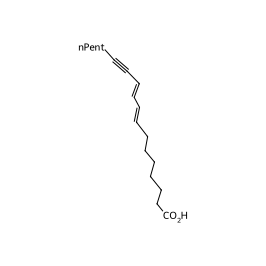 CCCCCC#CC=CC=CCCCCCCC(=O)O